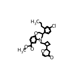 CCCc1cc(Cl)ccc1C1COc2ccc(C(=O)OC)cc2N(CC2CCC2C2CC(=O)C=CO2)C1